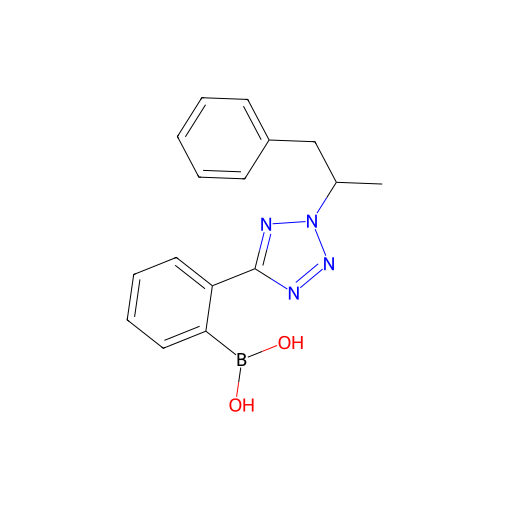 CC(Cc1ccccc1)n1nnc(-c2ccccc2B(O)O)n1